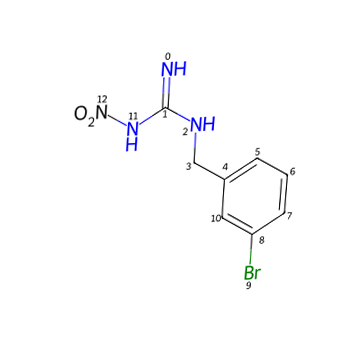 N=C(NCc1cccc(Br)c1)N[N+](=O)[O-]